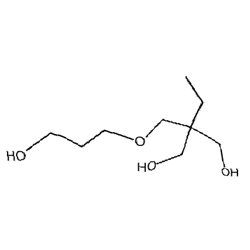 CCC(CO)(CO)COCCCO